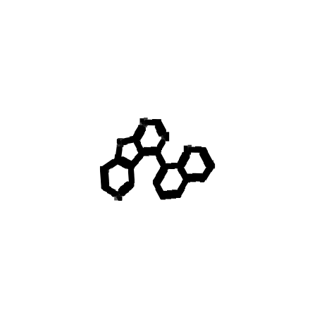 c1cnc2c(-c3ncnc4sc5ccncc5c34)cccc2c1